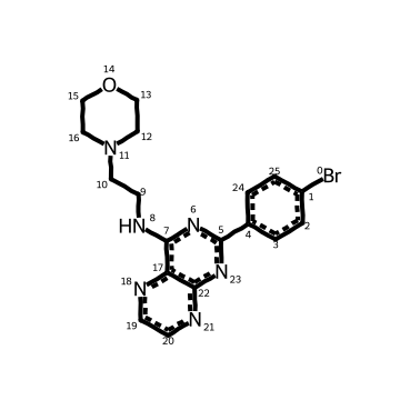 Brc1ccc(-c2nc(NCCN3CCOCC3)c3nccnc3n2)cc1